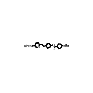 CCCCCc1ccc(CCc2ccc(OC(=O)C3CCC(CCCC)CC3)cc2)nc1